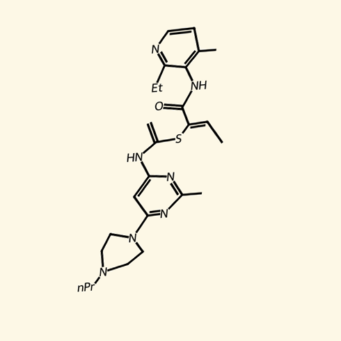 C=C(Nc1cc(N2CCN(CCC)CC2)nc(C)n1)S/C(=C\C)C(=O)Nc1c(C)ccnc1CC